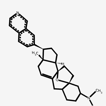 CN(C)C1CCC2CC3=CC[C@]4(C)[C@@H](c5ccc6ccncc6c5)CC[C@H]4[C@@]34CC[C@]2(C1)O4